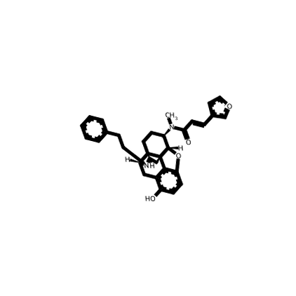 CN(C(=O)/C=C/c1ccoc1)[C@@H]1CC[C@H]2[C@H]3Cc4c(O)ccc5c4[C@@]2(CCN3CCc2ccccc2)[C@H]1O5